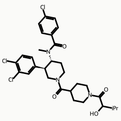 CC(C)C(O)C(=O)N1CCC(C(=O)N2CC[C@@H](N(C)C(=O)c3ccc(Cl)cc3)[C@H](c3ccc(Cl)c(Cl)c3)C2)CC1